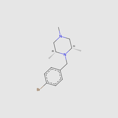 C[C@@H]1CN(C)C[C@H](C)N1Cc1ccc(Br)cc1